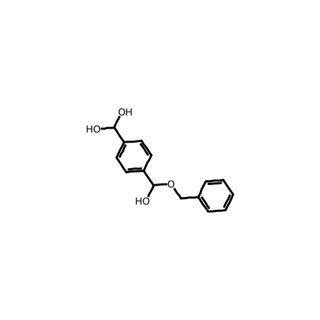 OC(O)c1ccc(C(O)OCc2ccccc2)cc1